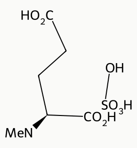 CN[C@@H](CCC(=O)O)C(=O)O.O=S(=O)(O)O